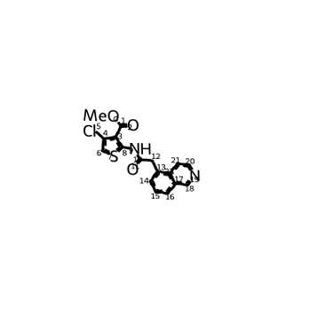 COC(=O)c1c(Cl)csc1NC(=O)Cc1cccc2cnccc12